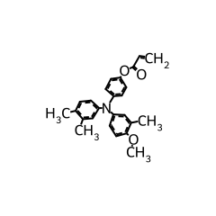 C=CC(=O)Oc1ccc(N(c2ccc(C)c(C)c2)c2ccc(OC)c(C)c2)cc1